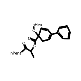 CCCCCCOC1(C(=O)OC(C)C(=O)CCCCC)C=CC(c2ccccc2)=CC1